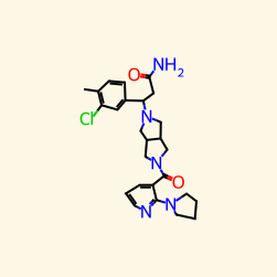 Cc1ccc(C(CC(N)=O)N2CC3CN(C(=O)c4cccnc4N4CCCC4)CC3C2)cc1Cl